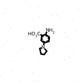 Nc1ccc(N2CCCC2)cc1C(=O)O